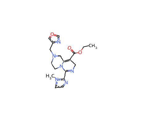 CCOC(=O)C1=C2CN(Cc3cocn3)CCN2C(c2nccn2C)=NC1